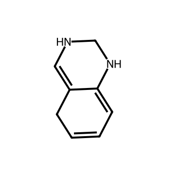 C1=CCC2=CNCNC2=C1